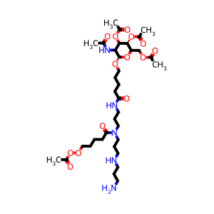 CC(=O)NC1C(OC(C)=O)[C@@H](OC(C)=O)C(COC(C)=O)O[C@H]1OCCCCC(=O)NCCCN(CCCNCCCN)C(=O)CCCCOOC(C)=O